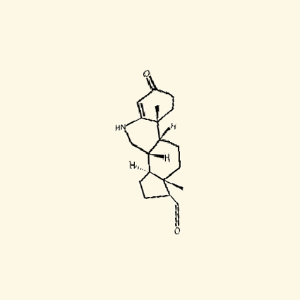 C[C@]12CCC(=O)C=C1NC[C@@H]1[C@H]2CC[C@]2(C)C(C=O)CC[C@@H]12